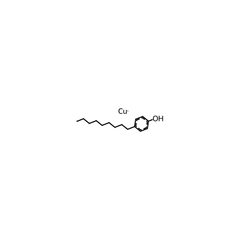 CCCCCCCCCc1ccc(O)cc1.[Cu]